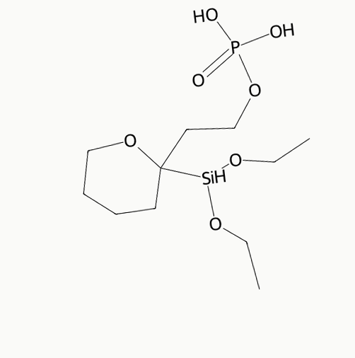 CCO[SiH](OCC)C1(CCOP(=O)(O)O)CCCCO1